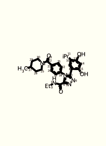 CCNC(=O)c1nnc(-c2cc(C(C)C)c(O)cc2O)n1-c1ccc(C(=O)N2CCC(C)CC2)cc1